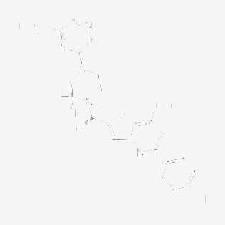 CC(C)(C)c1cc(-c2ccc(Cl)cc2)nc2cc(C(=O)N3CCN(c4cncc(C(=O)O)n4)CC3(C)C)oc12